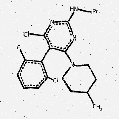 CC1CCN(c2nc(NC(C)C)nc(Cl)c2-c2c(F)cccc2Cl)CC1